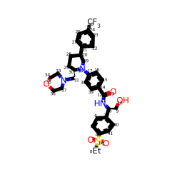 CCS(=O)(=O)c1ccc([C@H](CO)NC(=O)c2ccc(N3CC(c4ccc(C(F)(F)F)cc4)CC[C@H]3CN3CCOCC3)cc2)cc1